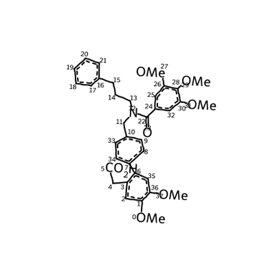 COc1cc(CC(=O)O)c(-c2ccc(CN(CCCc3ccccc3)C(=O)c3cc(OC)c(OC)c(OC)c3)cc2)cc1OC